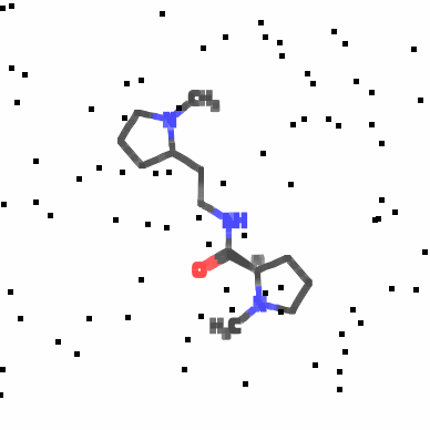 CN1CCCC1CCNC(=O)[C@H]1CCCN1C